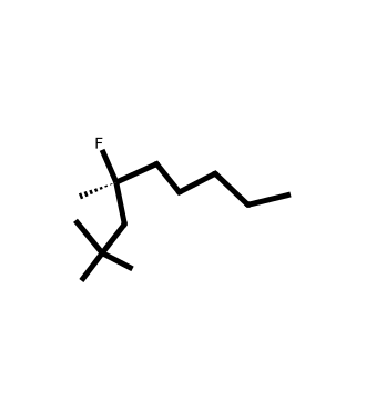 CCCCC[C@](C)(F)CC(C)(C)C